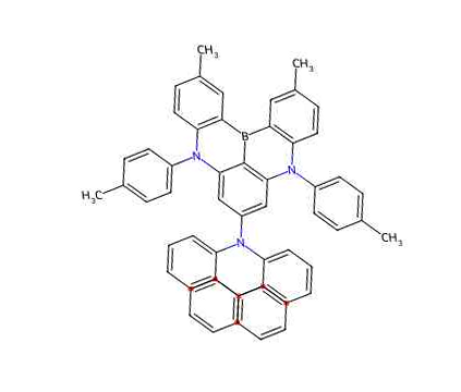 Cc1ccc(N2c3ccc(C)cc3B3c4cc(C)ccc4N(c4ccc(C)cc4)c4cc(N(c5ccccc5-c5ccccc5)c5ccccc5-c5ccccc5)cc2c43)cc1